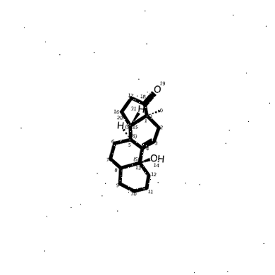 C[C@]12CC=C3[C@@H](CCC4CCCC[C@@]34O)[C@@H]1CCC2=O